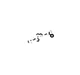 CCCC(NC(=O)[C@@H]1CCCN1C(=O)CNC(=O)OC(C)C(C)C)C(=O)C(=O)NCC(=O)NC(C(=O)N(C)C)c1ccccc1